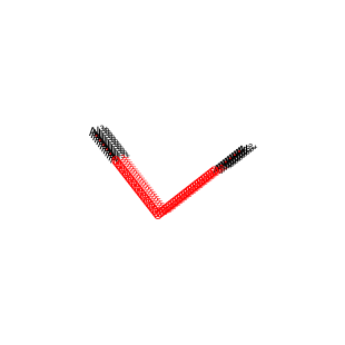 [Al+3].[Al+3].[Al+3].[Al+3].[Al+3].[Al+3].[Al+3].[Al+3].[Al+3].[Al+3].[Al+3].[Al+3].[Al+3].[Al+3].[Al+3].[Al+3].[Al+3].[Al+3].[Al+3].[Al+3].[Al+3].[Al+3].[Al+3].[Al+3].[Al+3].[O-2].[O-2].[O-2].[O-2].[O-2].[O-2].[O-2].[O-2].[O-2].[O-2].[O-2].[O-2].[O-2].[O-2].[O-2].[O-2].[O-2].[O-2].[O-2].[O-2].[O-2].[O-2].[O-2].[O-2].[O-2].[O-2].[O-2].[O-2].[O-2].[O-2].[O-2].[O-2].[O-2].[O-2].[O-2].[O-2].[O-2].[O-2].[O-2].[O-2].[O-2].[O-2].[O-2].[O-2].[O-2].[O-2].[O-2].[O-2].[O-2].[O-2]